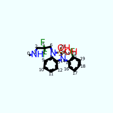 CNCC(F)(F)CN1c2ccccc2N(c2ccccc2F)S1(O)O